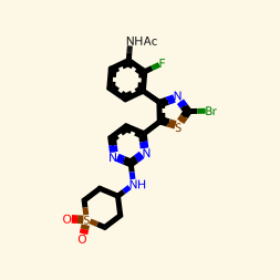 CC(=O)Nc1cccc(-c2nc(Br)sc2-c2ccnc(NC3CCS(=O)(=O)CC3)n2)c1F